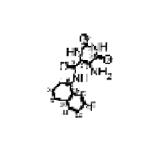 Nc1c(C(=O)N[C@@H]2CCCc3ccc(F)cc32)[nH]c(=O)[nH]c1=O